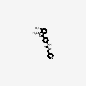 Cc1cccc2c(-c3ccc(NC(=O)NCc4ccncc4)cc3)nn(C)c12